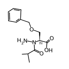 CC(C)C(=O)N(N)[C@@H](COCc1ccccc1)C(=O)O